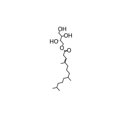 C/C(=C\CC(=O)OC[C@H](O)[C@H](O)CO)CCCC(C)CCCC(C)C